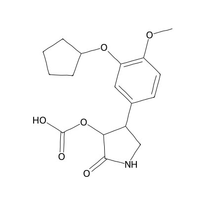 COc1ccc(C2CNC(=O)C2OC(=O)O)cc1OC1CCCC1